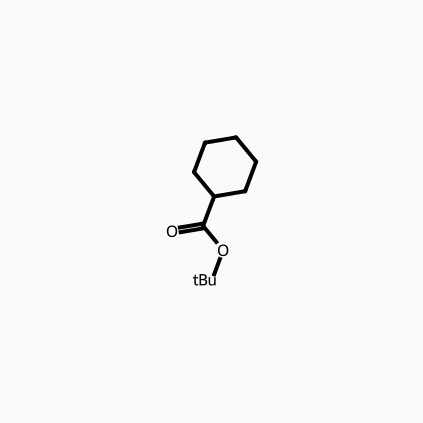 CC(C)(C)OC(=O)[C]1CCCCC1